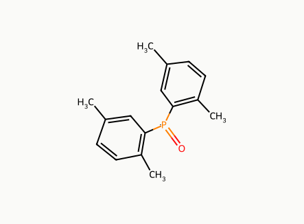 Cc1ccc(C)c([P](=O)c2cc(C)ccc2C)c1